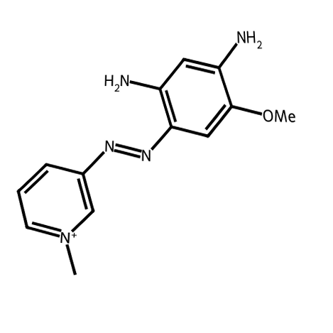 COc1cc(N=Nc2ccc[n+](C)c2)c(N)cc1N